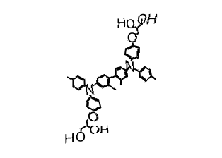 Cc1ccc(N(c2ccc(OCC(O)CO)cc2)c2ccc(-c3ccc(N(c4ccc(C)cc4)c4ccc(OCC(O)CO)cc4)cc3C)c(C)c2)cc1